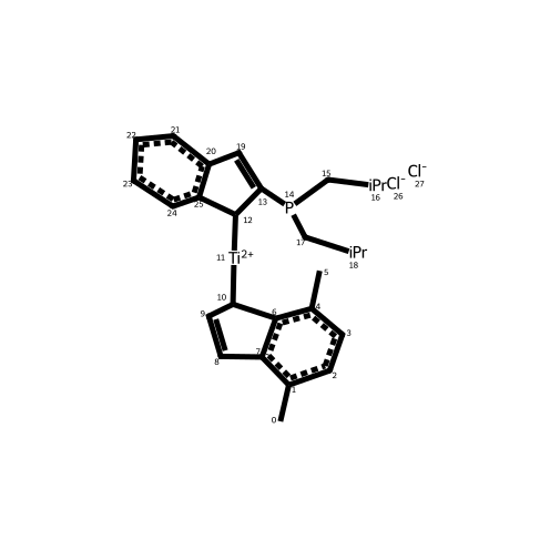 Cc1ccc(C)c2c1C=C[CH]2[Ti+2][CH]1C(P(CC(C)C)CC(C)C)=Cc2ccccc21.[Cl-].[Cl-]